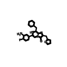 Nc1cc(-c2cn3c(=O)c(Cc4ccco4)nc-3c(Cc3ccccc3)[nH]2)ccc1F